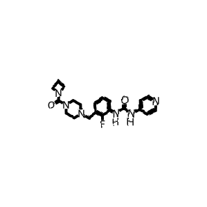 O=C(Nc1ccncc1)Nc1cccc(CN2CCN(C(=O)N3CCC3)CC2)c1F